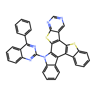 c1ccc(-c2nc(-n3c4ccccc4c4c5c6ccccc6sc5c5c6cncnc6sc5c43)nc3ccccc23)cc1